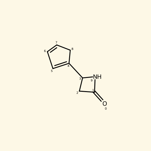 O=C1CC(C2=CC=CC2)N1